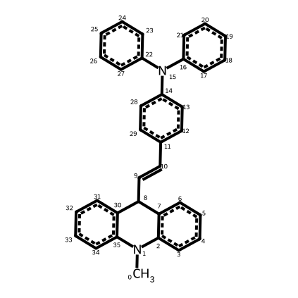 CN1c2ccccc2C(/C=C/c2ccc(N(c3ccccc3)c3ccccc3)cc2)c2ccccc21